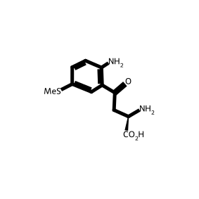 CSc1ccc(N)c(C(=O)C[C@@H](N)C(=O)O)c1